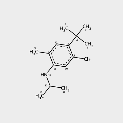 Cc1cc(C(C)(C)C)c(Cl)cc1NC(C)C